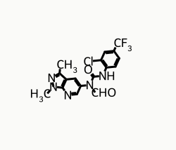 Cc1nn(C)c2ncc(N(C=O)C(=O)Nc3ccc(C(F)(F)F)cc3Cl)cc12